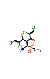 CS(=O)(=O)C(C#N)=C(C(=S)C(Cl)=CCl)C(=S)C(Cl)=CCl